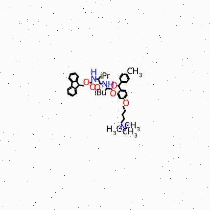 CCC(C)C(NC(=O)C(NC(=O)OCC1c2ccccc2-c2ccccc21)C(C)C)C(=O)OC(c1ccc(C)cc1)c1ccc(OCCCCC[N+](C)(C)C)cc1